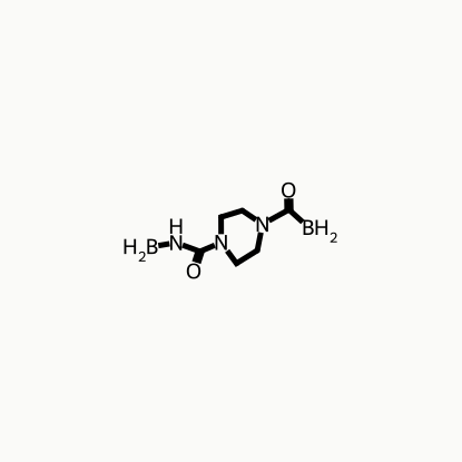 BNC(=O)N1CCN(C(B)=O)CC1